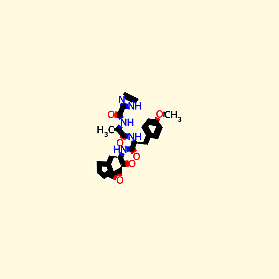 COc1ccc(C[C@H](NC(=O)[C@@H](C)NC(=O)c2ncc[nH]2)C(=O)N[C@@H](CC2CCCC2)C(=O)[C@H]2CO2)cc1